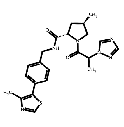 Cc1ncsc1-c1ccc(CNC(=O)[C@@H]2C[C@@H](C)CN2C(=O)C(C)n2cncn2)cc1